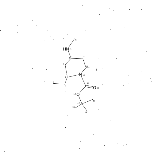 CCC1CC(NC)CC(C)N1C(=O)OC(C)(C)C